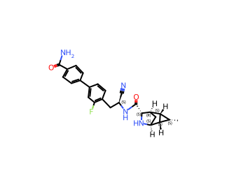 C[C@H]1[C@H]2[C@H]3C[C@H](N[C@@H]3C(=O)N[C@H](C#N)Cc3ccc(-c4ccc(C(N)=O)cc4)cc3F)[C@@H]12